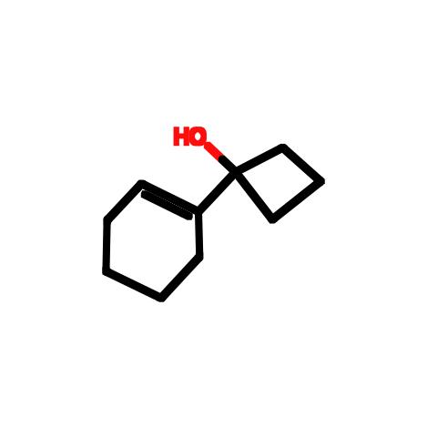 OC1(C2=CCCCC2)CCC1